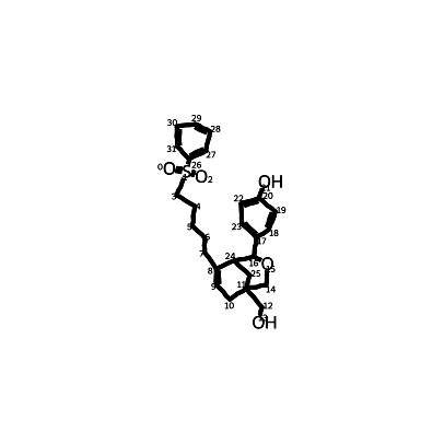 O=S(=O)(CCCCCC1=CCC2(CO)COC(c3ccc(O)cc3)C1C2)c1ccccc1